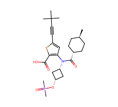 CC(C)(C)C#Cc1cc(N(C(=O)[C@H]2CC[C@H](C)CC2)[C@H]2C[C@@H](OP(C)(C)=O)C2)c(C(=O)O)s1